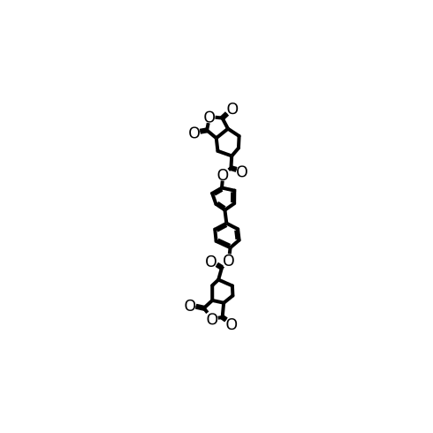 O=C(Oc1ccc(-c2ccc(OC(=O)C3CCC4C(=O)OC(=O)C4C3)cc2)cc1)C1CCC2C(=O)OC(=O)C2C1